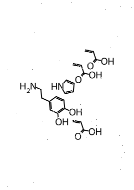 C=CC(=O)O.C=CC(=O)O.C=CC(=O)O.NCCc1ccc(O)c(O)c1.c1cc[nH]c1